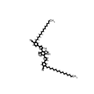 CCCCCCCCCCCCCCCCc1cc(-c2ccc(-c3c4c(c(-c5ccc(-c6ccc(C#N)c(CCCCCCCCCCCCCCCC)c6)s5)c5nsnc35)NSN4)s2)ccc1C#N